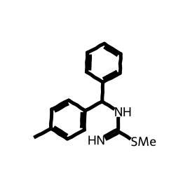 CSC(=N)NC(c1ccccc1)c1ccc(C)cc1